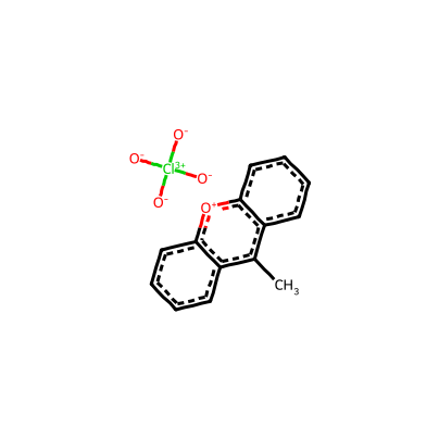 Cc1c2ccccc2[o+]c2ccccc12.[O-][Cl+3]([O-])([O-])[O-]